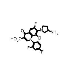 NC1CCN(c2c(F)cc3c(=O)c(C(=O)O)cn(-c4ccc(F)cc4F)c3c2Cl)C1